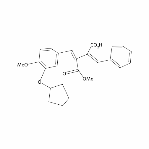 COC(=O)C(=Cc1ccc(OC)c(OC2CCCC2)c1)C(=Cc1ccccc1)C(=O)O